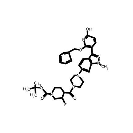 Cn1nc(-c2ccc(O)nc2OCc2ccccc2)c2ccc(N3CCN(C(=O)C4CCN(C(=O)OC(C)(C)C)CC4F)CC3)cc21